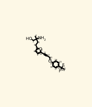 CC(N)(CO)CCc1ccc(C#CCOc2ccc(C(F)(F)F)cc2)o1